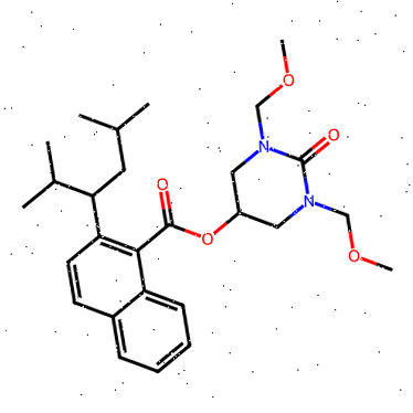 COCN1CC(OC(=O)c2c(C(CC(C)C)C(C)C)ccc3ccccc23)CN(COC)C1=O